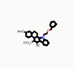 [C-]#[N+]c1c(C(=O)OCC)c2c(c3c1c1ccccc1n3CCOCc1ccccc1)CCc1cc(OC)ccc1-2